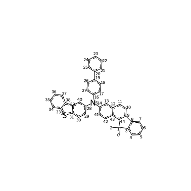 CC1(C)c2ccccc2-c2ccc3cc(N(c4ccc(-c5ccccc5)cc4)c4ccc5sc6ccccc6c5c4)ccc3c21